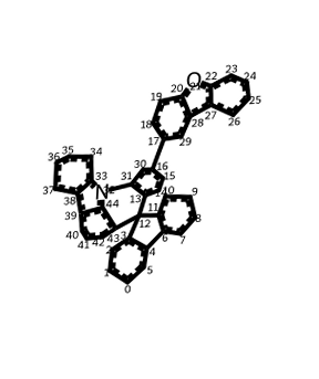 c1ccc2c(c1)-c1ccccc1C21c2ccc(-c3ccc4oc5ccccc5c4c3)cc2-n2c3ccccc3c3cccc1c32